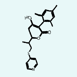 Cc1cc(C)c(C2=C(O)CC(C(C)CSc3ccncc3)OC2=O)c(C)c1